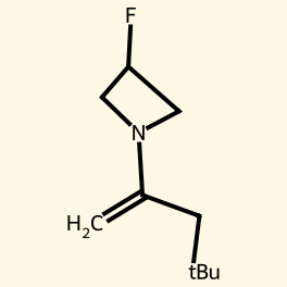 C=C(CC(C)(C)C)N1CC(F)C1